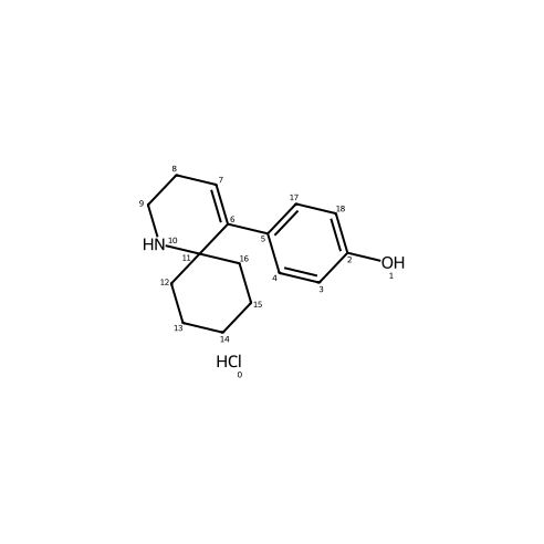 Cl.Oc1ccc(C2=CCCNC23CCCCC3)cc1